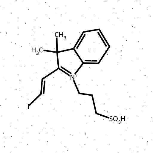 CC1(C)C(/C=C/I)=[N+](CCCS(=O)(=O)O)c2ccccc21